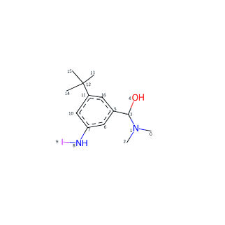 CN(C)C(O)c1cc(NI)cc(C(C)(C)C)c1